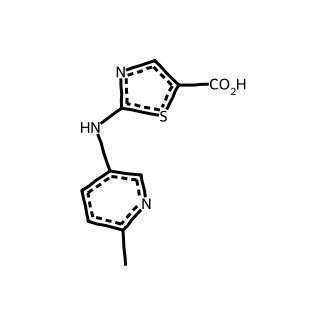 Cc1ccc(Nc2ncc(C(=O)O)s2)cn1